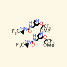 COCC(Oc1cc(CNC(=O)NC2CC2C(F)(F)F)ccn1)C(F)(F)F.COCC(Oc1cc(CNC(=O)N[C@@H]2C[C@H]2C(F)(F)F)ccn1)C(F)(F)F